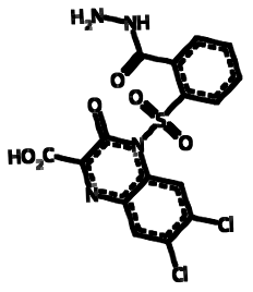 NNC(=O)c1ccccc1S(=O)(=O)n1c(=O)c(C(=O)O)nc2cc(Cl)c(Cl)cc21